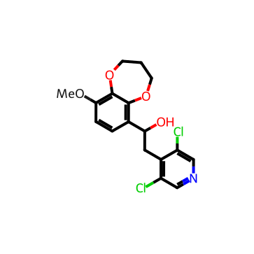 COc1ccc(C(O)Cc2c(Cl)cncc2Cl)c2c1OCCCO2